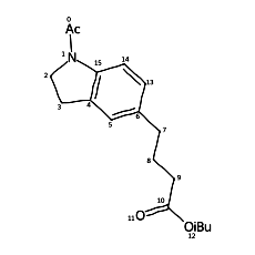 CC(=O)N1CCc2cc(CCCC(=O)OCC(C)C)ccc21